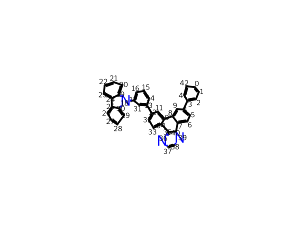 c1ccc(-c2ccc3c(c2)c2cc(-c4cccc(-n5c6ccccc6c6ccccc65)c4)ccc2c2nccnc32)cc1